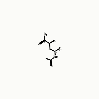 C=C(C)NC(CC)CC(C)C(=C)C(C)C